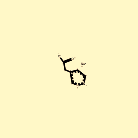 O=C([O-])Cc1ccnnc1.[Na+]